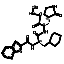 CC(C)(C)NC(=O)C(=O)[C@H](C[C@@H]1CCNC1=O)NC(=O)[C@H](CC1CCCCC1)NC(=O)c1cc2ccccc2s1